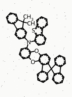 CC1(C)c2ccccc2-c2ccc(N(c3cccc4c3Oc3ccc5c(c3O4)-c3ccccc3C53c4ccccc4-c4ccccc43)c3cccc4c3sc3ccccc34)cc21